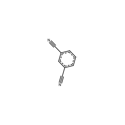 N#Cc1c[c]cc(C#N)c1